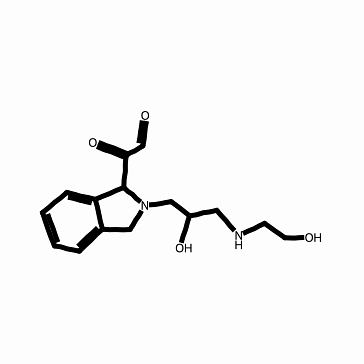 O=CC(=O)C1c2ccccc2CN1CC(O)CNCCO